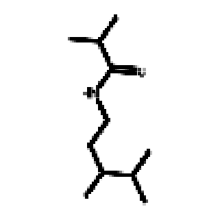 CC(C)C(=O)NCCC(C)C(C)C